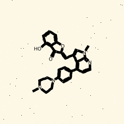 CN1CCN(c2ccc(-c3ccnc4c3c(/C=C3\Oc5cccc(O)c5C3=O)cn4C)cc2)CC1